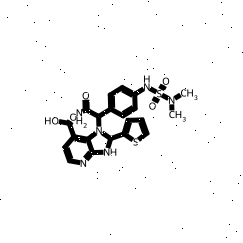 CN(C)S(=O)(=O)Nc1ccc(C(C(N)=O)N2c3c(C(=O)O)ccnc3NC2c2cccs2)cc1